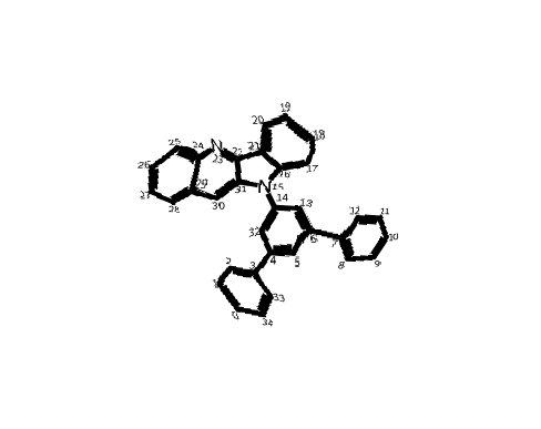 c1ccc(-c2cc(-c3ccccc3)cc(-n3c4ccccc4c4nc5ccccc5cc43)c2)cc1